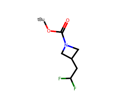 CC(C)(C)OC(=O)N1CC(CC(F)F)C1